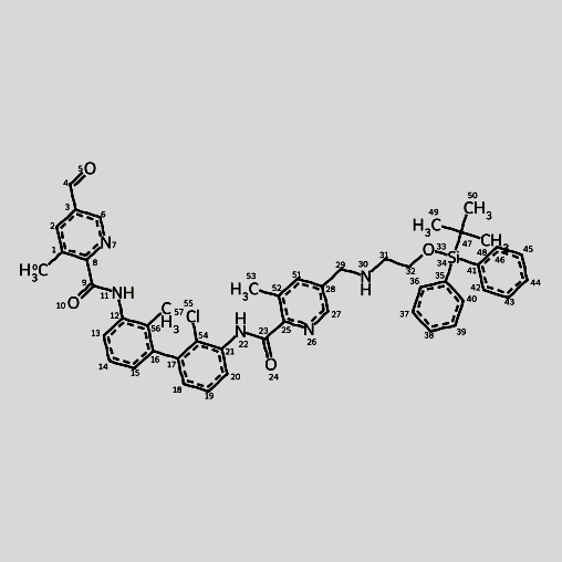 Cc1cc(C=O)cnc1C(=O)Nc1cccc(-c2cccc(NC(=O)c3ncc(CNCCO[Si](c4ccccc4)(c4ccccc4)C(C)(C)C)cc3C)c2Cl)c1C